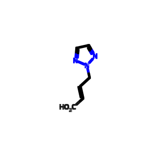 O=C(O)C=CCn1nccn1